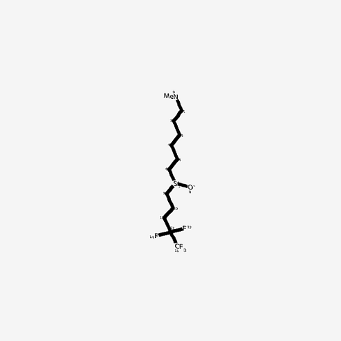 CNCCCCCC[S+]([O-])CCCC(F)(F)C(F)(F)F